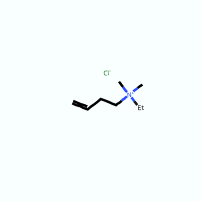 C=CCC[N+](C)(C)CC.[Cl-]